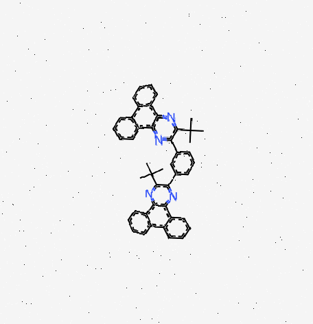 CC(C)(C)c1nc2c3ccccc3c3ccccc3c2nc1-c1cccc(-c2nc3c4ccccc4c4ccccc4c3nc2C(C)(C)C)c1